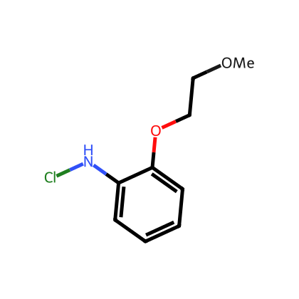 COCCOc1ccccc1NCl